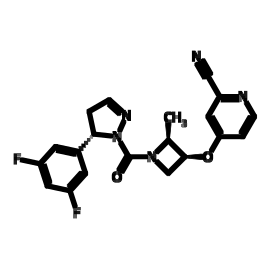 C[C@H]1[C@@H](Oc2ccnc(C#N)c2)CN1C(=O)N1N=CC[C@H]1c1cc(F)cc(F)c1